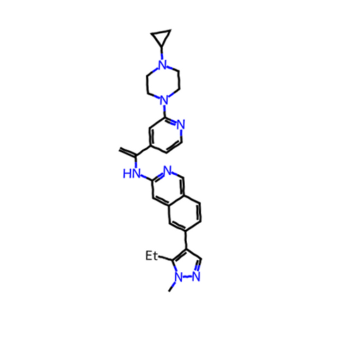 C=C(Nc1cc2cc(-c3cnn(C)c3CC)ccc2cn1)c1ccnc(N2CCN(C3CC3)CC2)c1